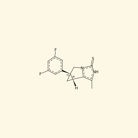 Cc1[nH]c(=S)n2c1[C@@H]1C[C@]1(c1cc(F)cc(F)c1)C2